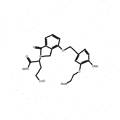 CNCCOc1cc(COc2cccc3c2CN(C(CCC=O)C(=O)NC)C3=O)ccc1OC